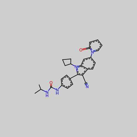 CC(C)NC(=O)Nc1ccc(-c2c(C#N)c3ccc(-n4ccccc4=O)cc3n2C2CCC2)cc1